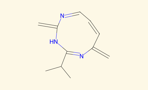 C=c1cccnc(=C)[nH]c(C(C)C)n1